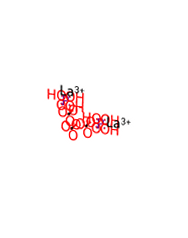 O=C([O-])[O-].O=C([O-])[O-].O=C([O-])[O-].O=P(O)(O)O.O=P(O)(O)O.[La+3].[La+3]